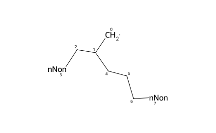 [CH2]C(CCCCCCCCCC)CCCCCCCCCCCC